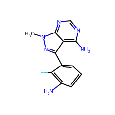 Cn1nc(-c2cccc(N)c2F)c2c(N)ncnc21